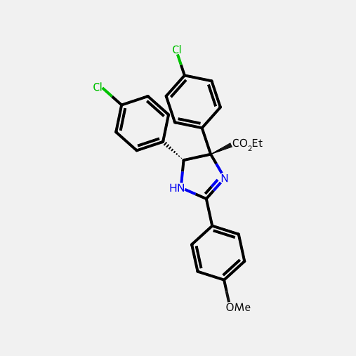 CCOC(=O)[C@@]1(c2ccc(Cl)cc2)N=C(c2ccc(OC)cc2)N[C@@H]1c1ccc(Cl)cc1